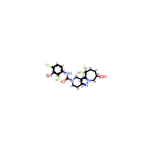 O=C(Nc1ccc(F)c(Br)c1F)N1CCc2nn3c(c2C1)C(F)(F)CCC(O)C3